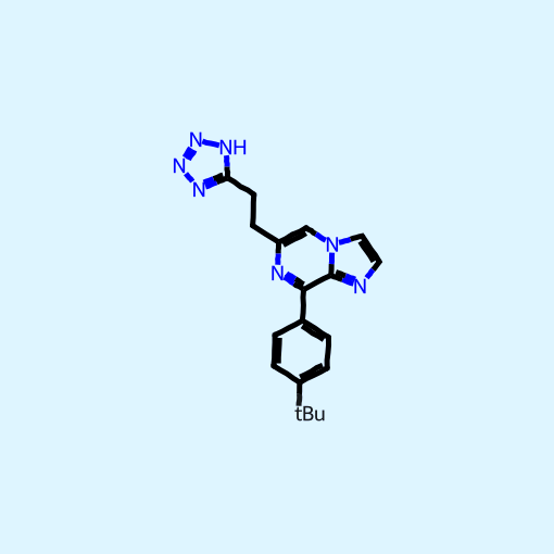 CC(C)(C)c1ccc(-c2nc(CCc3nnn[nH]3)cn3ccnc23)cc1